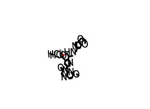 COc1ccc2ncc(=O)n(-c3cnc4c(c3)COCC4CNCc3cc4c(cn3)OCCO4)c2n1.Cl.Cl